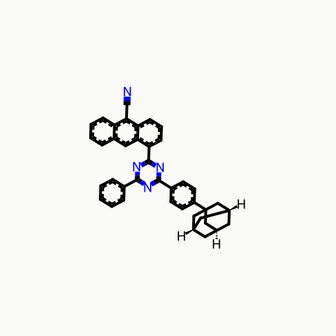 N#Cc1c2ccccc2cc2c(-c3nc(-c4ccccc4)nc(-c4ccc(C56C[C@H]7C[C@@H](C5)C[C@@H](C6)C7)cc4)n3)cccc12